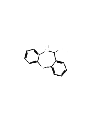 CC1Nc2ccccc2Sc2ccccc21